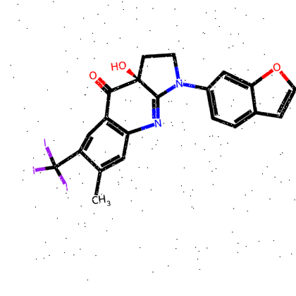 Cc1cc2c(cc1C(I)(I)I)C(=O)[C@]1(O)CCN(c3ccc4ccoc4c3)C1=N2